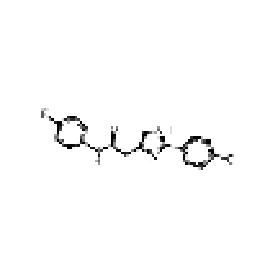 O=C(Cc1c[nH]c(-c2ccc(Cl)cc2)n1)Nc1ccc(F)cc1